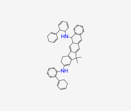 CC1(C)C2=CC3=Cc4ccccc4C(NC4C=CC=CC4C4=CCCC=C4)C3C=C2C2=C1C=C(Nc1ccccc1C1=CC=CCC1)CC2